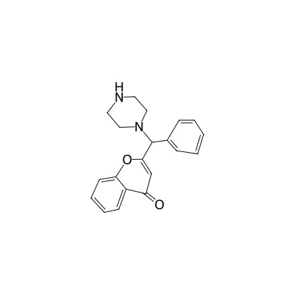 O=c1cc(C(c2ccccc2)N2CCNCC2)oc2ccccc12